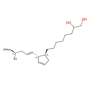 CCCCCC[C@H](CC)CC=C[C@H]1C=CC[C@@H]1CCCCCCC(O)CO